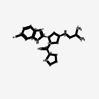 CC(C)CN[C@@H]1C[C@@H](c2nc3ccc(I)cc3[nH]2)N(C(=O)[C@H]2CCCO2)C1